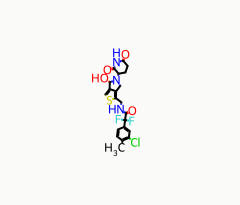 Cc1ccc(C(F)(F)C(=O)NCc2scc3c2CN(C2CCC(=O)NC2=O)C3O)cc1Cl